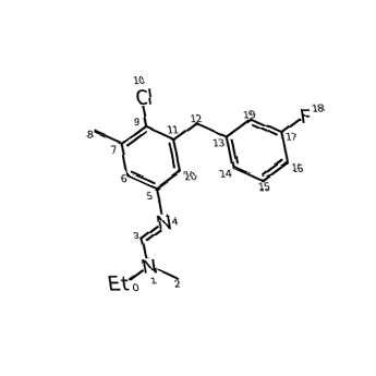 CCN(C)C=Nc1cc(C)c(Cl)c(Cc2cccc(F)c2)c1